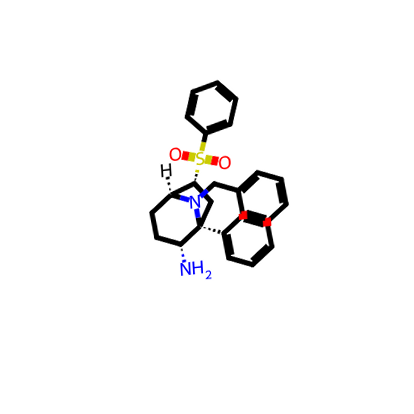 N[C@@H]1CC[C@H]2[C@H](S(=O)(=O)c3ccccc3)C[C@]1(c1ccccc1)N2Cc1ccccc1